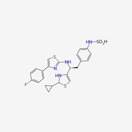 O=S(=O)(O)Nc1ccc(C[C@H](Nc2nc(-c3ccc(F)cc3)cs2)C2=CSC(C3CC3)N2)cc1